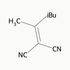 CCC(C)C(C)=C(C#N)C#N